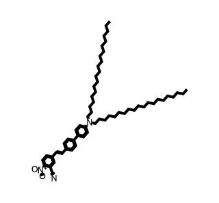 CCCCCCCCCCCCCCCCCCCCN(CCCCCCCCCCCCCCCCCCCC)c1ccc(-c2ccc(C=Cc3ccc([N+](=O)[O-])c(C#N)c3)cc2)cc1